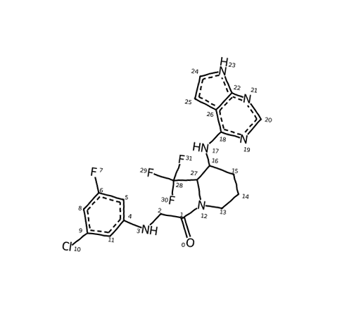 O=C(CNc1cc(F)cc(Cl)c1)N1CCCC(Nc2ncnc3[nH]ccc23)C1C(F)(F)F